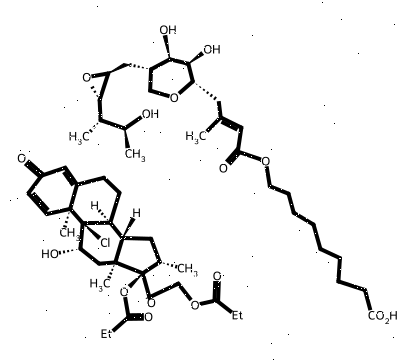 C/C(=C\C(=O)OCCCCCCCCC(=O)O)C[C@@H]1OC[C@H](C[C@@H]2O[C@H]2[C@@H](C)[C@H](C)O)[C@@H](O)[C@H]1O.CCC(=O)OCC(=O)[C@@]1(OC(=O)CC)[C@@H](C)C[C@H]2[C@@H]3CCC4=CC(=O)C=C[C@]4(C)[C@@]3(Cl)[C@@H](O)C[C@@]21C